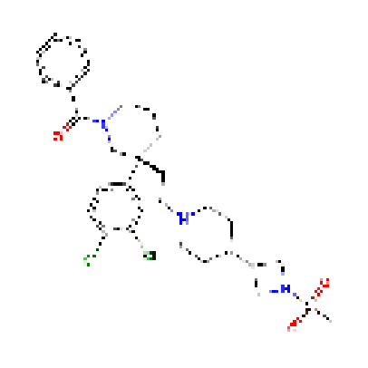 CS(=O)(=O)N1CC(C2CCN(CC[C@]3(c4ccc(Cl)c(Cl)c4)CCCN(C(=O)c4ccccc4)C3)CC2)C1